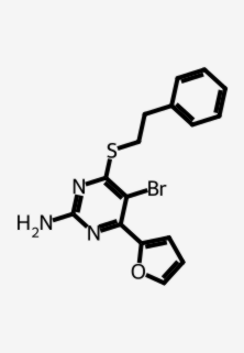 Nc1nc(SCCc2ccccc2)c(Br)c(-c2ccco2)n1